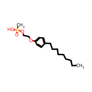 CCCCCCCCCc1ccc(OCCOP(C)(=O)O)cc1